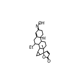 CCC1CC2=C/C(=N/O)CC[C@@H]2C2CC[C@@]3(C)C(C4CC4[C@@]34C=CC(=O)O4)C12